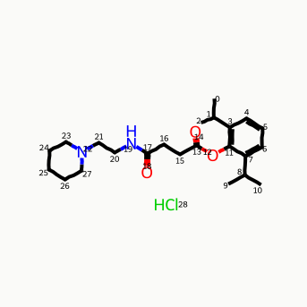 CC(C)c1cccc(C(C)C)c1OC(=O)CCC(=O)NCCN1CCCCC1.Cl